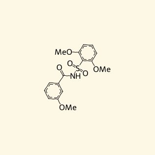 COc1cccc(C(=O)NS(=O)(=O)c2c(OC)cccc2OC)c1